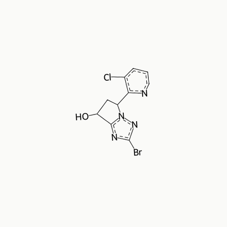 OC1CC(c2ncccc2Cl)n2nc(Br)nc21